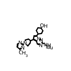 CCC(C)Nc1ncc2c(C3CCN(c4nccc(C)n4)CC3)cc(C3CCC(O)CC3)n2n1